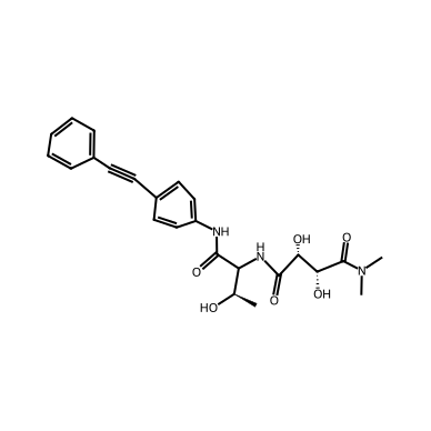 C[C@@H](O)C(NC(=O)[C@H](O)[C@@H](O)C(=O)N(C)C)C(=O)Nc1ccc(C#Cc2ccccc2)cc1